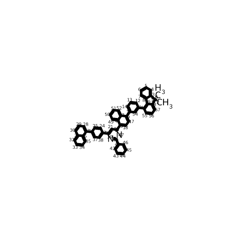 CC1(C)c2ccccc2-c2c(-c3cccc(-c4ccc(-c5cc(-c6ccc(-c7cccc8ccccc78)cc6)nc(-c6ccccc6)n5)c5ccccc45)c3)cccc21